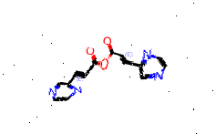 O=C(/C=C/c1cnccn1)OC(=O)/C=C/c1cnccn1